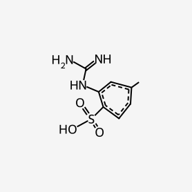 Cc1ccc(S(=O)(=O)O)c(NC(=N)N)c1